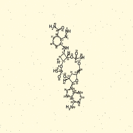 N=Nc1c(N[C@@H]2C[C@@H]3OP(=O)(S)O[C@@H]4C[C@@H](COP(=O)(S)O[C@H]32)O[C@H]4n2cnc3c(N)ncnc32)cccc1C(N)=O